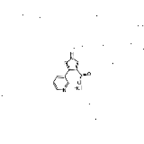 Cl.O=C(Cl)c1c[nH]nc1-c1cccnc1